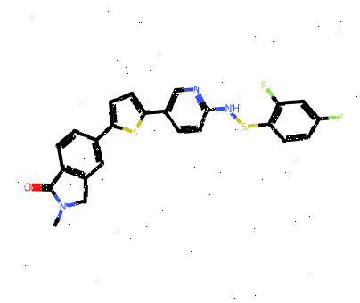 CN1Cc2cc(-c3ccc(-c4ccc(NSc5ccc(F)cc5F)nc4)s3)ccc2C1=O